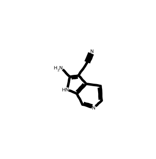 N#Cc1c(N)[nH]c2cnccc12